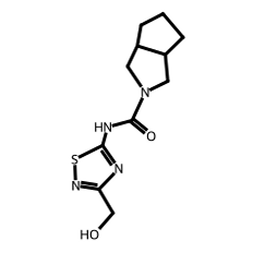 O=C(Nc1nc(CO)ns1)N1CC2CCCC2C1